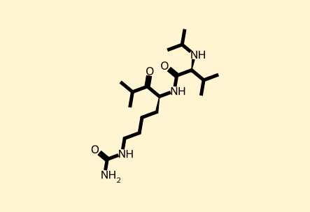 CC(C)N[C@H](C(=O)N[C@@H](CCCCNC(N)=O)C(=O)C(C)C)C(C)C